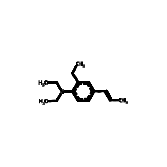 CC=Cc1ccc(N(CC)CC)c(CC)c1